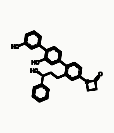 O=C1CCN1c1ccc(-c2ccc(-c3cccc(O)c3)c(O)c2)c(CC[C@H](O)c2ccccc2)c1